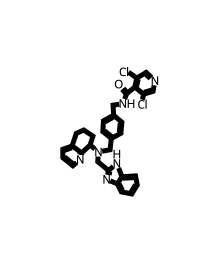 O=C(NCc1ccc(CN(Cc2nc3ccccc3[nH]2)C2CCCc3cccnc32)cc1)c1c(Cl)cncc1Cl